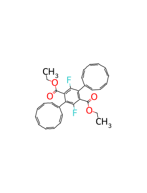 CCOC(=O)c1c(F)c(-c2ccccccccc2)c(C(=O)OCC)c(F)c1-c1ccccccccc1